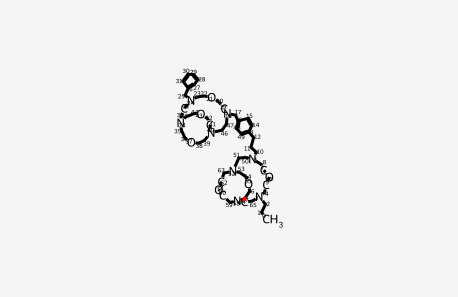 CCCN1CCOCCN(CCCc2ccc(CN3CCOCCN(Cc4ccccc4)CCN4CCOCCN(CCOCC4)CC3)cc2)CCN2CCOCCN(CCOCC2)CC1